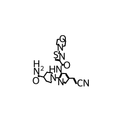 N#CC=Cc1cnc(N2CCC(C(N)=O)CC2)c(NC(=O)c2csc(N3CCOCC3)n2)c1